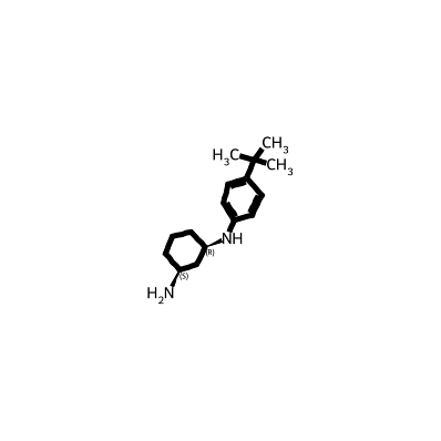 CC(C)(C)c1ccc(N[C@@H]2CCC[C@H](N)C2)cc1